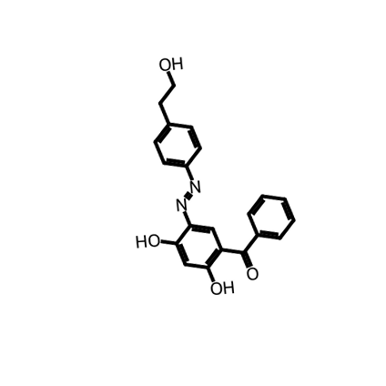 O=C(c1ccccc1)c1cc(N=Nc2ccc(CCO)cc2)c(O)cc1O